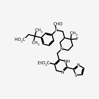 CCOC(=O)C1=C(CN2CCC(C)(F)C(CN(C=O)c3cccc(C(C)(C)CC(=O)O)c3)C2)NC(c2nccs2)=NC1